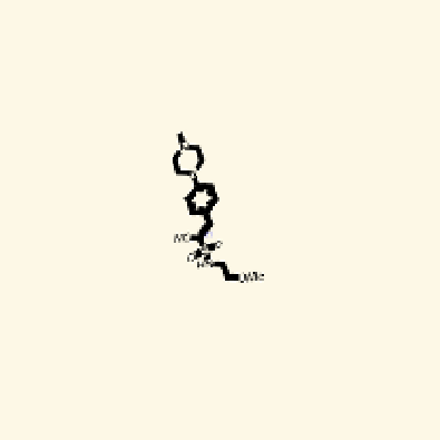 COCCNS(=O)(=O)/C(C#N)=C/c1ccc(N2CCN(C)CC2)cc1